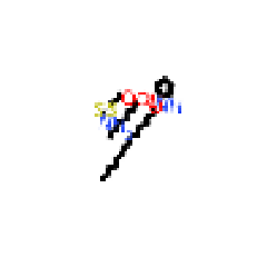 CCCCCCCC(=O)O.CCCCCCCCCCCCCCONc1ccccc1.CCCSC(N)=S